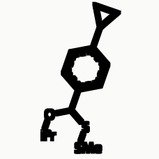 CSSC(OC(C)C)c1ccc(C2CC2)cc1